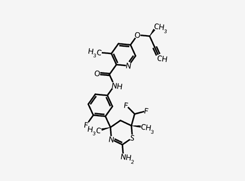 C#C[C@H](C)Oc1cnc(C(=O)Nc2ccc(F)c([C@]3(C)C[C@](C)(C(F)F)SC(N)=N3)c2)c(C)c1